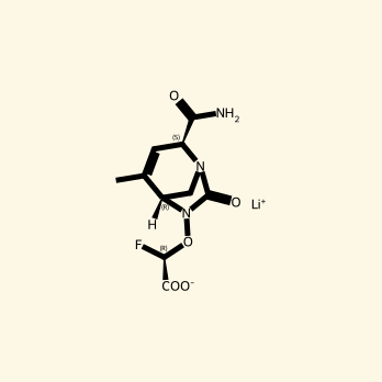 CC1=C[C@@H](C(N)=O)N2C[C@@H]1N(O[C@H](F)C(=O)[O-])C2=O.[Li+]